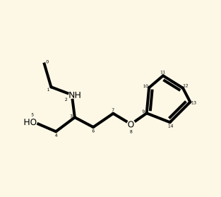 CCNC(CO)CCOc1ccccc1